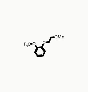 COCCOc1cc[c]cc1OC(F)(F)F